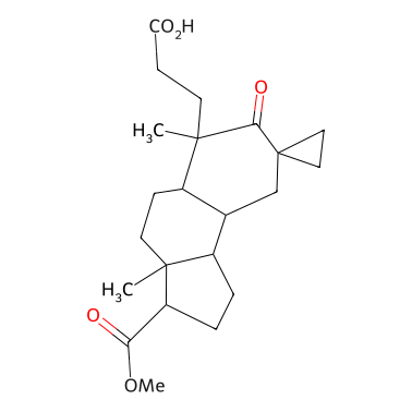 COC(=O)C1CCC2C3CC4(CC4)C(=O)C(C)(CCC(=O)O)C3CCC12C